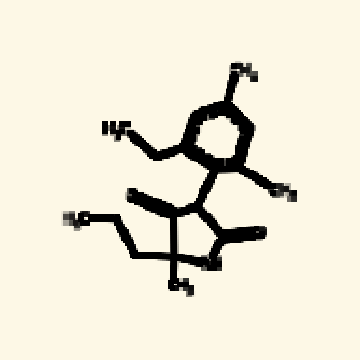 CCCC1(C)NC(=O)C(c2c(C)cc(C)cc2CC)C1=O